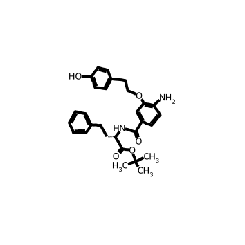 CC(C)(C)OC(=O)[C@H](CCc1ccccc1)NC(=O)c1ccc(N)c(OCCc2ccc(O)cc2)c1